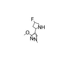 COc1nn(C)cc1C1CC(F)CN1